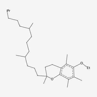 CCOc1c(C)c(C)c2c(c1C)CCC(C)(CCCC(C)CCCC(C)CCCC(C)C)O2